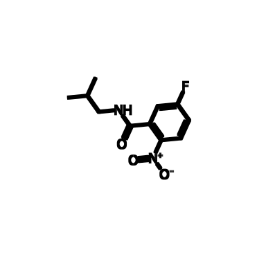 CC(C)CNC(=O)c1cc(F)ccc1[N+](=O)[O-]